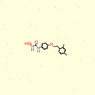 Cc1ccc(CCOc2ccc(NC(=O)NO)cc2)c(C)c1